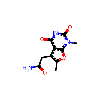 Cc1oc2c(c1CC(N)=O)c(=O)[nH]c(=O)n2C